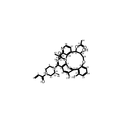 C=CC(=O)N1CCN(c2nc(=O)n3c4nc(c(F)cc24)-c2c(F)cccc2OCC(O)C(OC(C)=O)c2ccnc(C(C)C)c2-3)[C@@H](C)C1